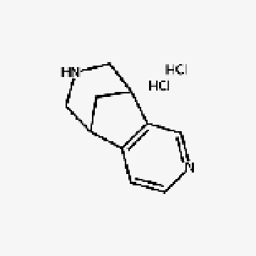 Cl.Cl.c1cc2c(cn1)C1CNCC2C1